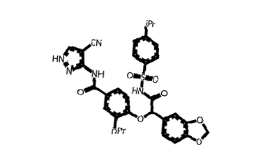 CCCc1cc(C(=O)Nc2n[nH]cc2C#N)ccc1OC(C(=O)NS(=O)(=O)c1ccc(C(C)C)cc1)c1ccc2c(c1)OCO2